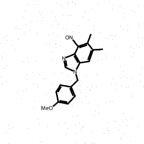 COc1ccc(Cn2cnc3c(N=O)c(C)c(C)cc32)cc1